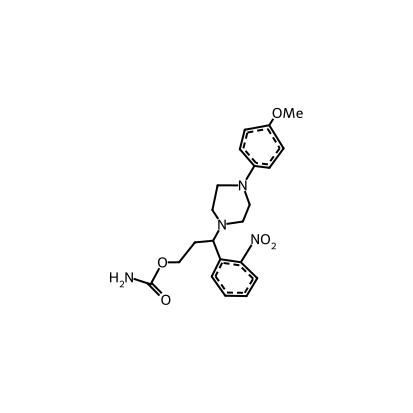 COc1ccc(N2CCN(C(CCOC(N)=O)c3ccccc3[N+](=O)[O-])CC2)cc1